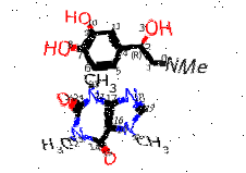 CNC[C@H](O)c1ccc(O)c(O)c1.Cn1c(=O)c2c(ncn2C)n(C)c1=O